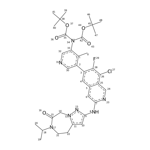 Cc1c(-c2cc3cc(Nc4cc5n(n4)CC(=O)N(C(C)C)CC5)ncc3c(Cl)c2F)cncc1N(C(=O)OC(C)(C)C)C(=O)OC(C)(C)C